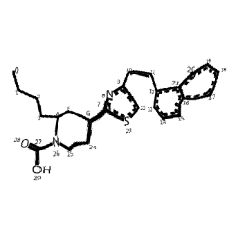 CCCCC1CC(c2nc(/C=C\c3cccc4ccccc34)cs2)CCN1C(=O)O